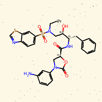 CC(C)CN(C[C@@H](O)[C@H](Cc1ccccc1)NC(=O)[C@@H]1CN(c2cccc(N)c2)C(=O)O1)S(=O)(=O)c1ccc2ncsc2c1